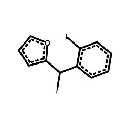 Ic1ccccc1C(I)c1ccco1